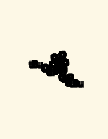 CC(C)(C)OC(=O)N1CCC[C@@H](C(=O)Nc2nn(C(c3ccccc3)(c3ccccc3)c3ccccc3)c3ccc(-c4cc(C(C)(C)C)ccc4Cl)cc23)C1